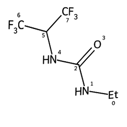 CCNC(=O)NC(C(F)(F)F)C(F)(F)F